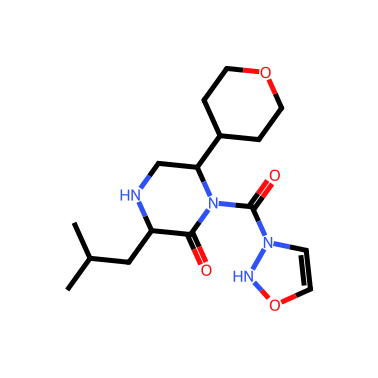 CC(C)CC1NCC(C2CCOCC2)N(C(=O)N2C=CON2)C1=O